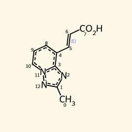 Cc1nc2c(/C=C/C(=O)O)cccn2n1